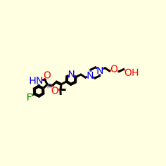 CC1(C)O/C(=C2/C(=O)Nc3cc(F)ccc32)C=C1c1ccc(CCN2CCN(CCOCCO)CC2)nc1